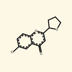 O=c1cc(C2CCCO2)oc2ccc(Cl)cc12